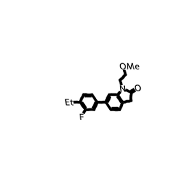 CCc1ccc(-c2ccc3c(c2)N(CCOC)C(=O)C3)cc1F